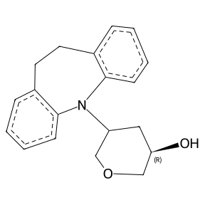 O[C@H]1COCC(N2c3ccccc3CCc3ccccc32)C1